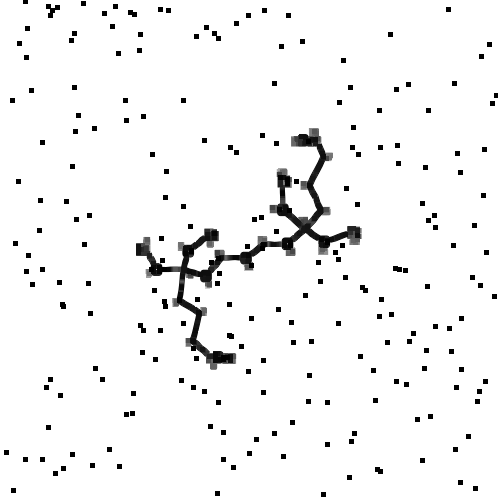 CCCCCCCCCCCCCC(OCC)(OCC)OCOCOC(CCCCCCCCCCCCC)(OCC)OCC